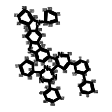 c1ccc(-c2cccc(-c3cnc(-c4ccc5sc6cc7c8ccccc8n(-c8ccccc8)c7cc6c5c4)c(-c4nc(-c5ccccc5)nc(-c5ccccc5)n4)c3)c2)cc1